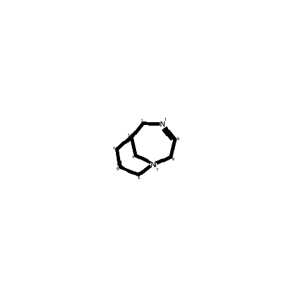 C1=NCC2CCCN(C1)C2